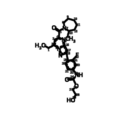 CCc1cc(C(=O)N2CCCCCC2C)nc2cc(-c3ccc(NC(=O)OCCO)cc3F)nn12